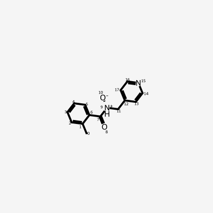 Cc1ccccc1C(=O)[NH+]([O-])Cc1ccncc1